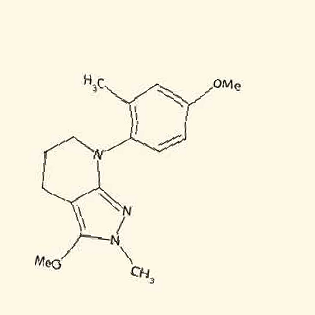 COc1ccc(N2CCCc3c2nn(C)c3OC)c(C)c1